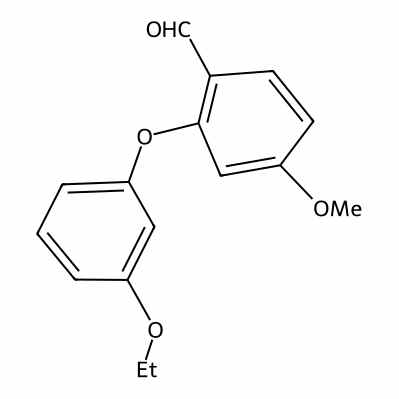 CCOc1cccc(Oc2cc(OC)ccc2C=O)c1